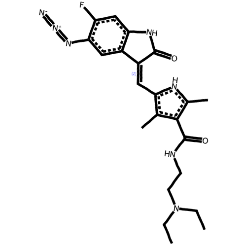 CCN(CC)CCNC(=O)c1c(C)[nH]c(/C=C2\C(=O)Nc3cc(F)c(N=[N+]=[N-])cc32)c1C